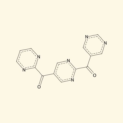 O=C(c1cncnc1)c1ncc(C(=O)c2ncccn2)cn1